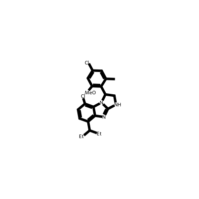 CCC(CC)c1ccc(Cl)c2c1nc1n2C(c2c(C)cc(Cl)cc2OC)CN1